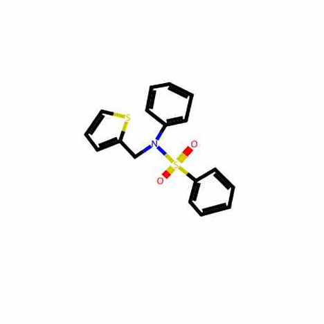 O=S(=O)(c1ccccc1)N(Cc1cccs1)c1ccccc1